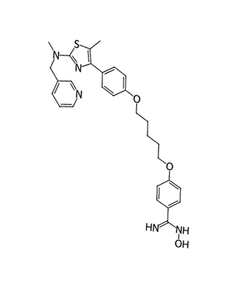 Cc1sc(N(C)Cc2cccnc2)nc1-c1ccc(OCCCCCOc2ccc(C(=N)NO)cc2)cc1